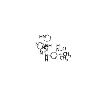 CC1(C)C(=O)Nc2cc(NC3=N[N+]4(N[C@H]5CCCNC5)C=CN=CC4=N3)ccc21